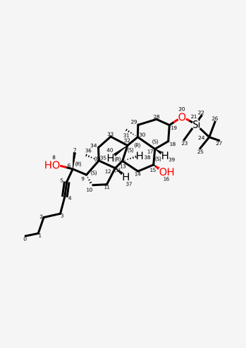 CCCCC#C[C@](C)(O)[C@H]1CC[C@H]2[C@@H]3C[C@H](O)[C@H]4CC(O[Si](C)(C)C(C)(C)C)CC[C@]4(C)[C@H]3CC[C@@]21C